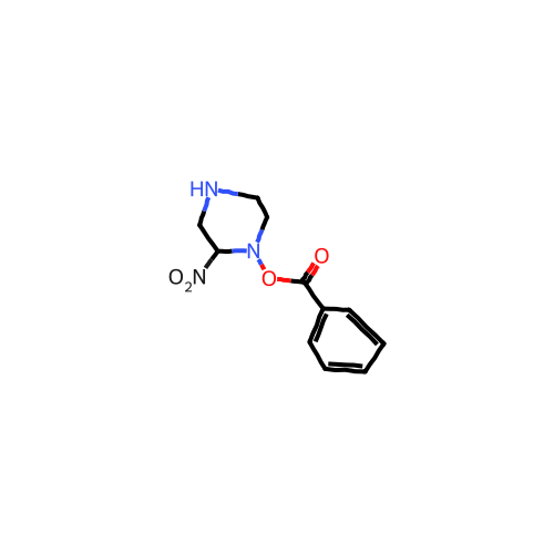 O=C(ON1CCNCC1[N+](=O)[O-])c1ccccc1